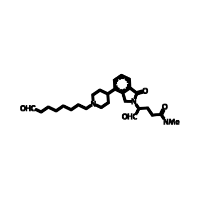 CNC(=O)CCC(C=O)N1Cc2c(cccc2C2CCN(CCCCCCCC=O)CC2)C1=O